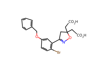 O=C(O)CC1(CC(=O)O)CC(c2cc(OCc3ccccc3)ccc2Br)=NO1